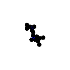 c1ccc(-c2ccc(C3(c4ccc(-c5ccccc5)cc4)c4ccccc4-c4c3ccc3c5ccccc5n(-c5ccc(-c6ccc7cc(N(c8ccccc8)c8ccc(-c9ccccc9)c(-c9ccccc9)c8)ccc7c6)cc5)c43)cc2)cc1